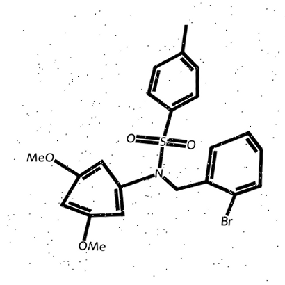 COc1cc(OC)cc(N(Cc2ccccc2Br)S(=O)(=O)c2ccc(C)cc2)c1